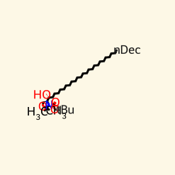 CCCCCCCCCCCCCCCCCCCCCCCCCCCCCCCCC[C@@H](O)[C@@H]1COC(C)(C)N1C(=O)OC(C)(C)C